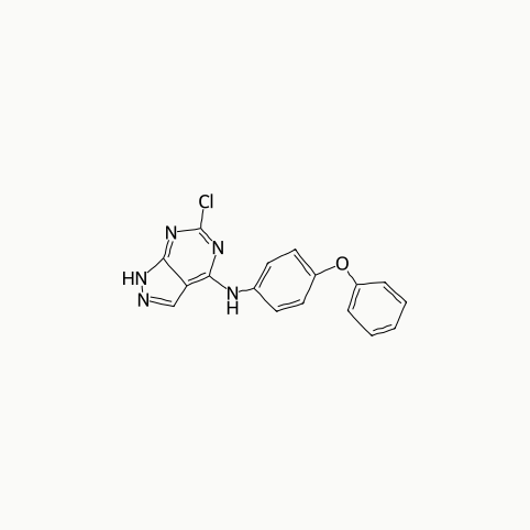 Clc1nc(Nc2ccc(Oc3ccccc3)cc2)c2cn[nH]c2n1